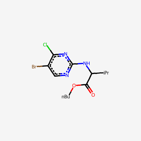 CCCCOC(=O)C(Nc1ncc(Br)c(Cl)n1)C(C)C